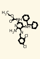 CCOC(=O)Nc1cc(NC(c2ccccc2)c2ccccc2)c(/N=C/c2ccc(Cl)cc2Cl)c(N)n1